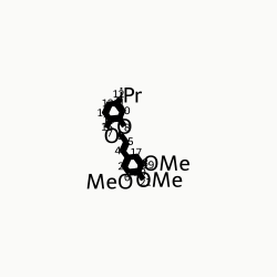 COc1cc(/C=C/C(=O)Oc2cc(C(C)C)ccc2C)cc(OC)c1OC